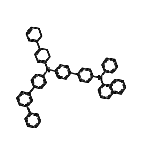 C1=CCCC(C2=CC=C(N(c3ccc(-c4ccc(N(c5ccccc5)c5cccc6ccccc56)cc4)cc3)c3ccc(-c4cccc(-c5ccccc5)c4)cc3)CC2)=C1